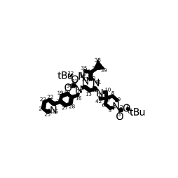 CC(C)(C)OC(=O)N1CCC2(CC1)CN(c1cc(N(Cc3ccc(-c4ccccn4)cc3)C(=O)OC(C)(C)C)n3ncc(C4CC4)c3n1)C2